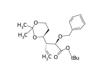 C=C[C@H]([C@@H]1CCOC(C)(C)O1)[C@@H](OCc1ccccc1)C(=O)OC(C)(C)C